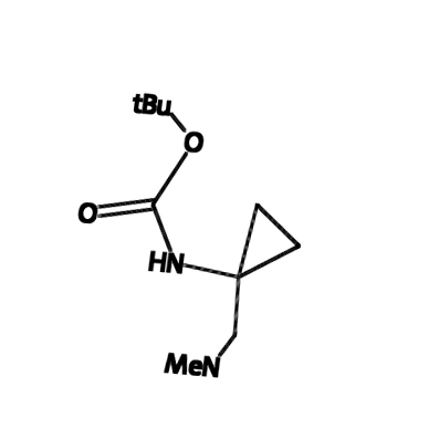 CNCC1(NC(=O)OC(C)(C)C)CC1